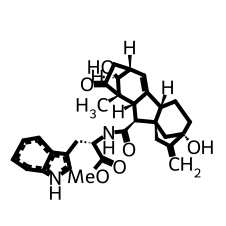 C=C1C[C@]23C[C@@]1(O)CC[C@H]2C1=C[C@H]2CC(=O)[C@@](C)([C@H]1[C@@H]3C(=O)N[C@@H](Cc1c[nH]c3ccccc13)C(=O)OC)[C@H]2O